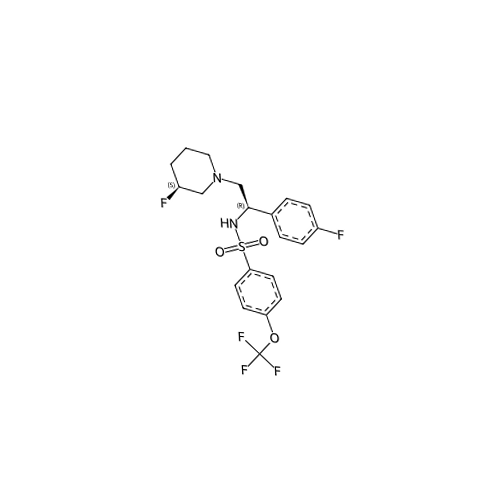 O=S(=O)(N[C@@H](CN1CCC[C@H](F)C1)c1ccc(F)cc1)c1ccc(OC(F)(F)F)cc1